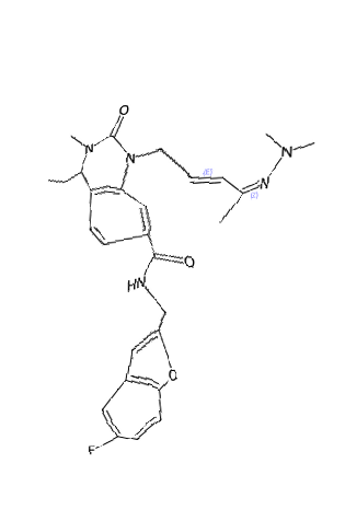 CC(/C=C/CN1C(=O)N(C)C(C)c2ccc(C(=O)NCc3cc4cc(F)ccc4o3)cc21)=N/N(C)C